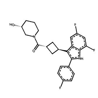 O=C([C@H]1C[C@H](c2c(-c3ccc(F)cc3)[nH]c3c(F)cc(F)cc32)C1)N1CCC[C@@H](O)C1